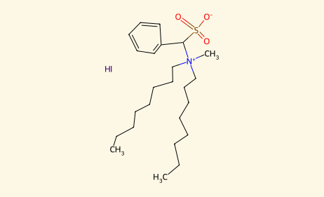 CCCCCCCC[N+](C)(CCCCCCCC)C(c1ccccc1)S(=O)(=O)[O-].I